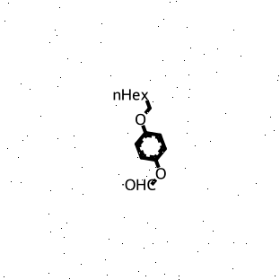 CCCCCCCOc1ccc(O[C]=O)cc1